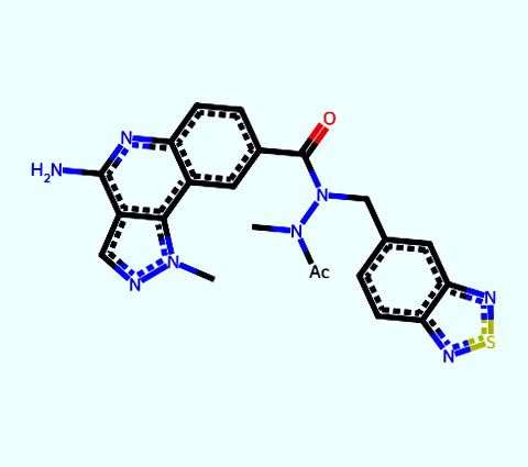 CC(=O)N(C)N(Cc1ccc2nsnc2c1)C(=O)c1ccc2nc(N)c3cnn(C)c3c2c1